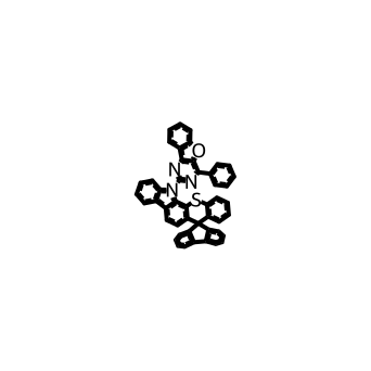 c1ccc(-c2nc(-n3c4ccccc4c4ccc5c(c43)Sc3ccccc3C53c4ccccc4-c4ccccc43)nc3c2oc2ccccc23)cc1